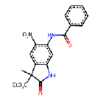 CCOC(=O)C1(C)C(=O)Nc2cc(NC(=O)c3ccccc3)c([N+](=O)[O-])cc21